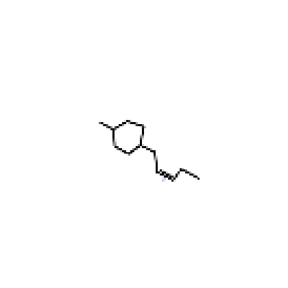 CC/C=C\CC1CCC(C)CC1